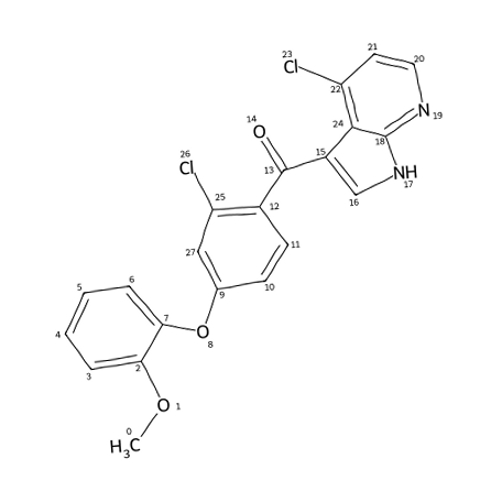 COc1ccccc1Oc1ccc(C(=O)c2c[nH]c3nccc(Cl)c23)c(Cl)c1